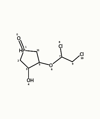 O=[PH]1CC(O)C(OC(Cl)CCl)C1